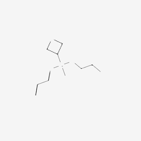 CCCO[Si](C)(OCCC)C1COC1